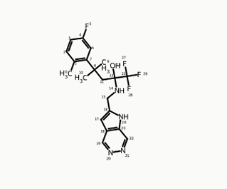 Cc1ccc(F)cc1C(C)(C)CC(O)(NCc1cc2cnncc2[nH]1)C(F)(F)F